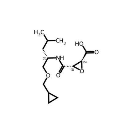 CC(C)C[C@@H](COCC1CC1)NC(=O)[C@H]1O[C@@H]1C(=O)O